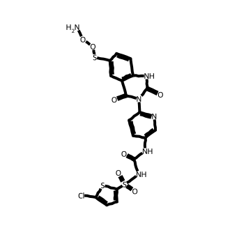 NOOSc1ccc2[nH]c(=O)n(-c3ccc(NC(=O)NS(=O)(=O)c4ccc(Cl)s4)cn3)c(=O)c2c1